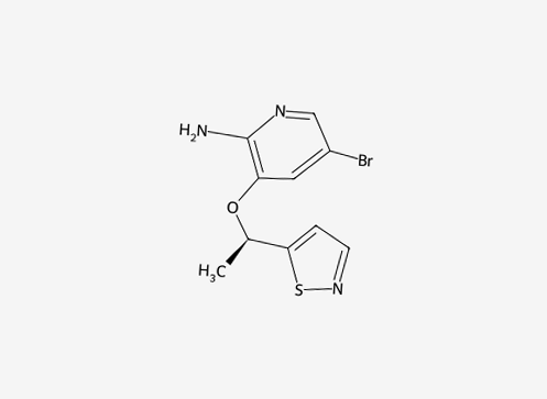 C[C@@H](Oc1cc(Br)cnc1N)c1ccns1